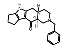 O=C1c2c([nH]c3c2CCC3)C[C@@H]2CCN(Cc3ccccc3)C[C@@H]12